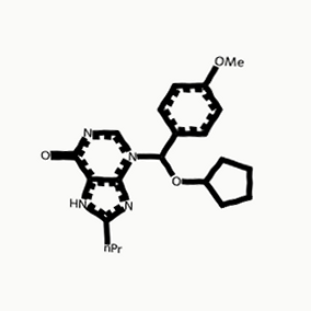 CCCc1nc2c([nH]1)c(=O)ncn2C(OC1CCCC1)c1ccc(OC)cc1